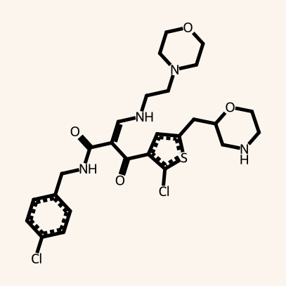 O=C(NCc1ccc(Cl)cc1)C(=CNCCN1CCOCC1)C(=O)c1cc(CC2CNCCO2)sc1Cl